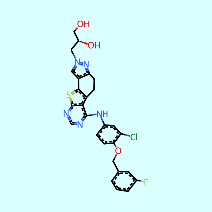 OC[C@@H](O)Cn1cc2c(n1)CCc1c-2sc2ncnc(Nc3ccc(OCc4cccc(F)c4)c(Cl)c3)c12